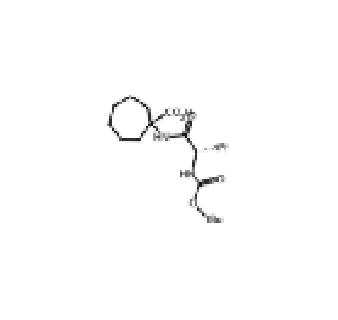 CC(C)[C@H](NC(=O)OC(C)(C)C)C(=O)NC1(C(=O)O)CCCCCC1